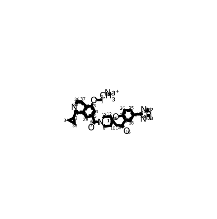 CCOc1cc(C(=O)N2CCC3(CC2)CC(=O)c2cc(-c4nnn[n-]4)ccc2O3)cc2c(C3CC3)nccc12.[Na+]